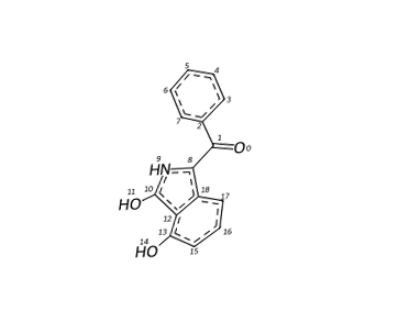 O=C(c1ccccc1)c1[nH]c(O)c2c(O)cccc12